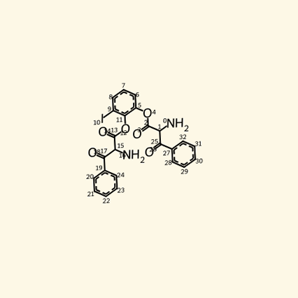 NC(C(=O)Oc1cccc(I)c1OC(=O)C(N)C(=O)c1ccccc1)C(=O)c1ccccc1